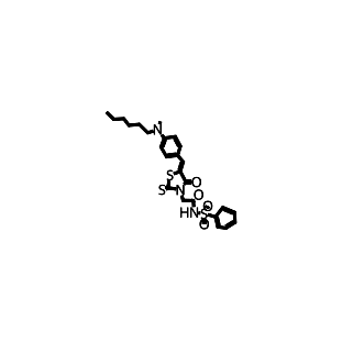 CCCCCCN(C)c1ccc(/C=C2\SC(=S)N(CC(=O)NS(=O)(=O)c3ccccc3)C2=O)cc1